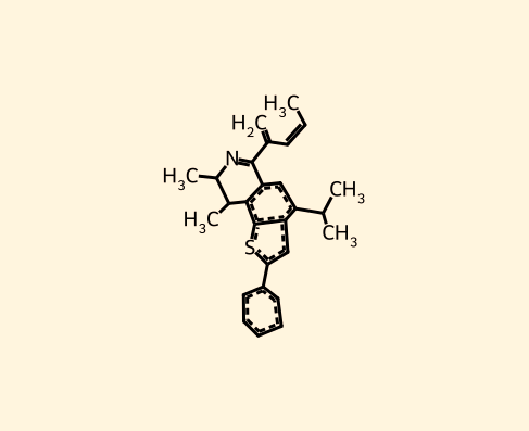 C=C(/C=C\C)C1=NC(C)C(C)c2c1cc(C(C)C)c1cc(-c3ccccc3)sc21